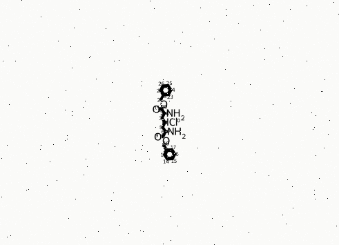 Cl.NC(CCCC(N)C(=O)OCc1ccccc1)C(=O)OCc1ccccc1